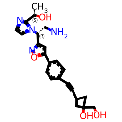 C[C@H](O)c1nccn1[C@H](CN)c1cc(-c2ccc(C#CC3CC(O)(CO)C3)cc2)on1